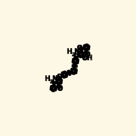 C=C1c2ccccc2C(=O)c2ccc(Oc3ccc(C(C)(C)c4cccc(C(C)(C)c5ccc(Oc6cc(O)c7c(c6N)C(=O)c6ccccc6C7=O)cc5)c4)cc3)c(N)c21